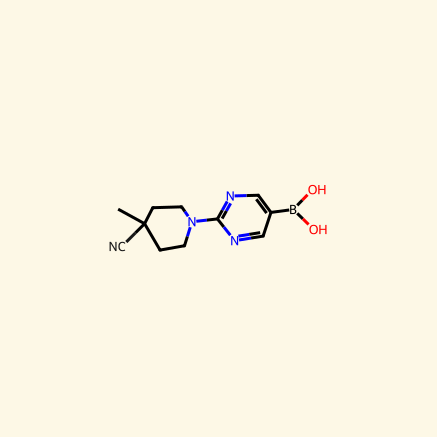 CC1(C#N)CCN(c2ncc(B(O)O)cn2)CC1